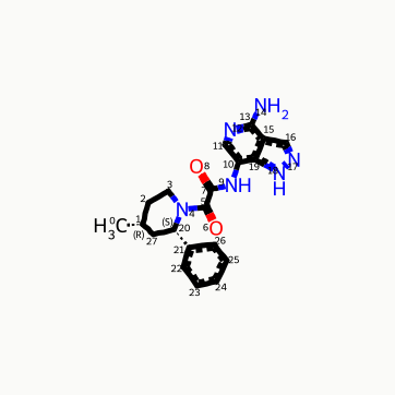 C[C@@H]1CCN(C(=O)C(=O)Nc2cnc(N)c3cn[nH]c23)[C@H](c2ccccc2)C1